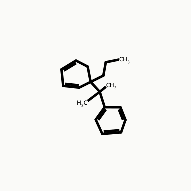 CCCC1(C(C)(C)c2ccccc2)C=CC=CC1